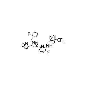 Fc1ccccc1Cn1nc(-c2ncc(F)c(NCc3nnc(C(F)(F)F)o3)n2)cc1-c1ccon1